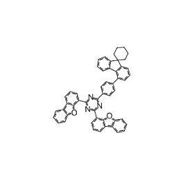 c1ccc2c(c1)-c1c(-c3ccc(-c4nc(-c5cccc6c5oc5ccccc56)nc(-c5cccc6c5oc5ccccc56)n4)cc3)cccc1C21CCCCC1